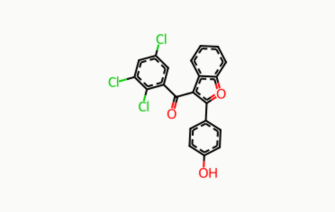 O=C(c1cc(Cl)cc(Cl)c1Cl)c1c(-c2ccc(O)cc2)oc2ccccc12